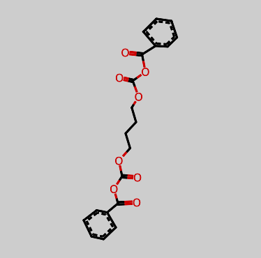 O=C(OCCCCOC(=O)OC(=O)c1ccccc1)OC(=O)c1ccccc1